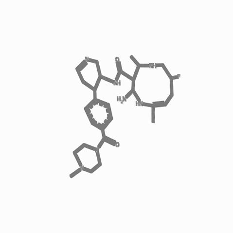 C/C1=C/CC(F)CNC(C)C(C(=O)NC2CN=CCC2c2ccc(C(=O)N3CCN(C)CC3)cc2)C(N)N1